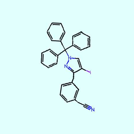 N#Cc1cccc(-c2nn(C(c3ccccc3)(c3ccccc3)c3ccccc3)cc2I)c1